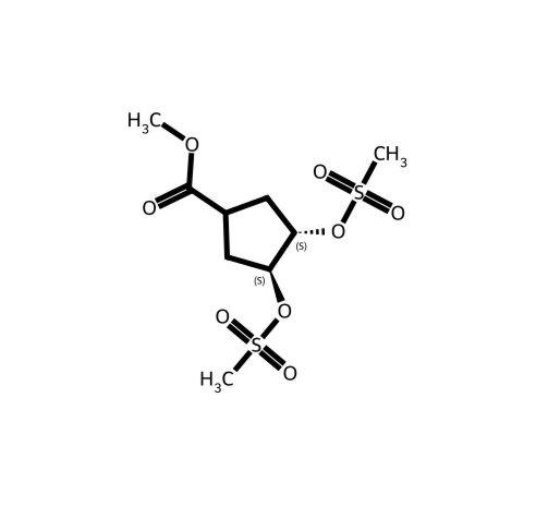 COC(=O)C1C[C@H](OS(C)(=O)=O)[C@@H](OS(C)(=O)=O)C1